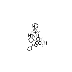 CC(C(=O)O)c1c(C(=O)c2ccccc2)ccc2nc(C[S+]([O-])c3ccccn3)[nH]c12